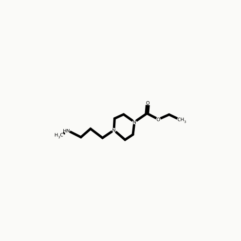 CCOC(=O)N1CCN(CCCNC)CC1